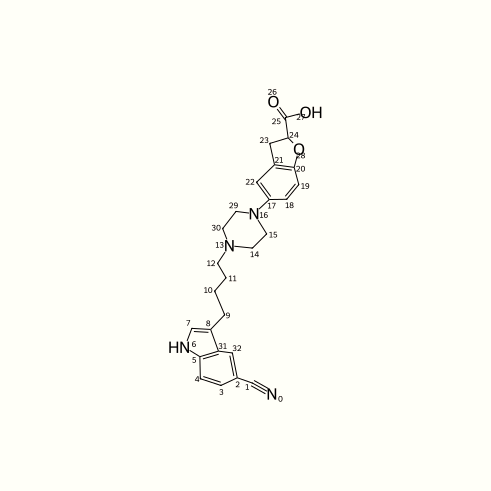 N#Cc1ccc2[nH]cc(CCCCN3CCN(c4ccc5c(c4)CC(C(=O)O)O5)CC3)c2c1